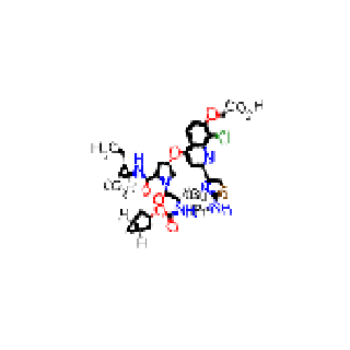 C=C[C@@H]1C[C@]1(NC(=O)C1C[C@@H](Oc2cc(-c3csc(NC(C)C)n3)nc3c(Cl)c(OCC(=O)O)ccc23)CN1C(=O)[C@@H](NC(=O)O[C@@H]1C[C@@H]2C[C@@H]2C1)C(C)(C)C)C(=O)O